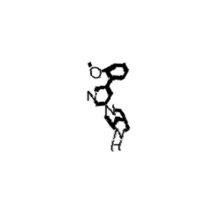 COc1ccccc1-c1cncc(N2CC3CNC(C3)C2)c1